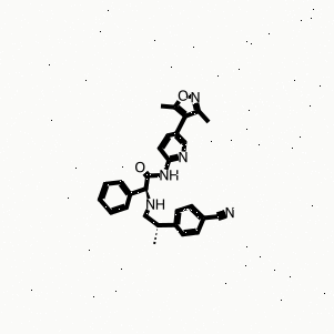 Cc1noc(C)c1-c1ccc(NC(=O)[C@@H](NC[C@@H](C)c2ccc(C#N)cc2)c2ccccc2)nc1